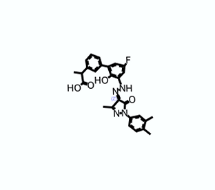 CC1=NN(c2ccc(C)c(C)c2)C(=O)/C1=N\Nc1cc(F)cc(-c2cccc(C(C)C(=O)O)c2)c1O